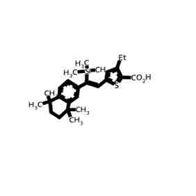 CCc1cc(C=C(c2ccc3c(c2)C(C)(C)CCC3(C)C)[Si](C)(C)C)sc1C(=O)O